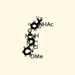 COc1cccc(-c2nc3nc(Oc4ccc(C(C)(C)NC(C)=O)cc4)[nH]c3cc2Cl)n1